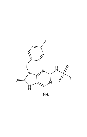 CCS(=O)(=O)Nc1nc(N)c2[nH]c(=O)n(Cc3ccc(F)cc3)c2n1